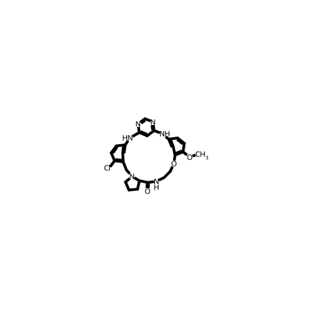 COc1ccc2cc1OCCNC(=O)C1CCCN1Cc1cc(ccc1Cl)Nc1cc(ncn1)N2